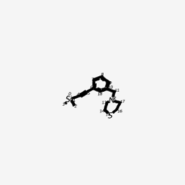 C[Si](C)(C)C#Cc1cccc(CN2CCSCC2)c1